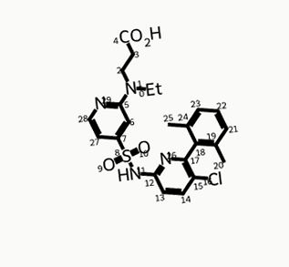 CCN(CCC(=O)O)c1cc(S(=O)(=O)Nc2ccc(Cl)c(-c3c(C)cccc3C)n2)ccn1